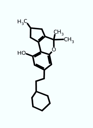 CC1CC2=C(C1)C(C)(C)Oc1cc(CCC3CCCCC3)cc(O)c12